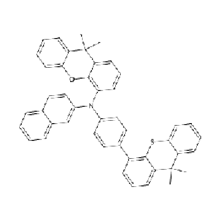 CC1(C)c2ccccc2Oc2c(N(c3ccc(-c4cccc5c4Sc4ccccc4C5(C)C)cc3)c3ccc4ccccc4c3)cccc21